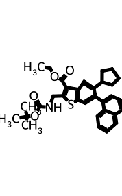 CCOC(=O)c1c(CNC(=O)OC(C)(C)C)sc2cc(-c3cccc4ccccc34)c(C3CCCC3)cc12